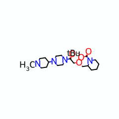 CN1CCC(N2CCN(C(=O)COCC3CCCCN3C(=O)OC(C)(C)C)CC2)CC1